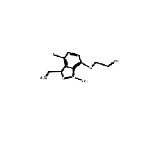 NCC1OB(O)c2c(OCCO)ccc(I)c21